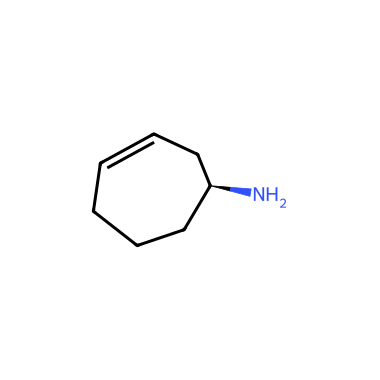 N[C@@H]1CC=CCCC1